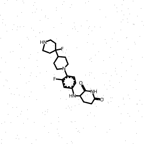 O=C1CCC(Nc2ccc(N3CCC(C4(F)CCNCC4)CC3)c(F)c2)C(=O)N1